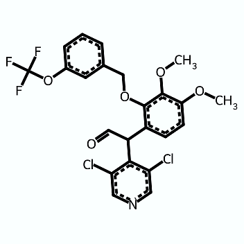 COc1ccc(C(C=O)c2c(Cl)cncc2Cl)c(OCc2cccc(OC(F)(F)F)c2)c1OC